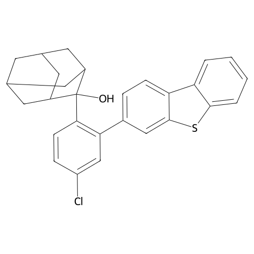 OC1(c2ccc(Cl)cc2-c2ccc3c(c2)sc2ccccc23)C2CC3CC(C2)CC1C3